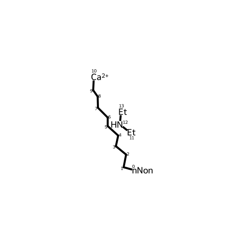 CCCCCCCCCCCCCCCCC[CH2][Ca+2].CCNCC